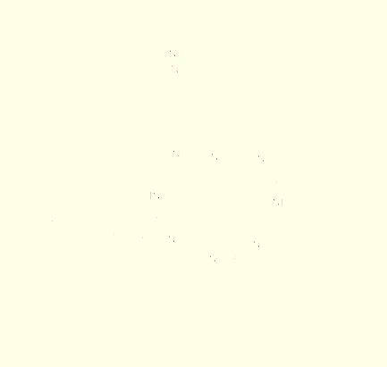 O=S(=O)([O-])c1ccc2c3nc4nc(nc5[nH]c(nc6nc(nc([nH]3)c2c1S(=O)(=O)[O-])-c1ccccc1-6)c1ccccc51)-c1ccccc1-4.[Na+].[Na+]